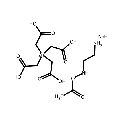 CC(=O)ONCCN.O=C(O)[CH2][Zn]([CH2]C(=O)O)([CH2]C(=O)O)[CH2]C(=O)O.[NaH]